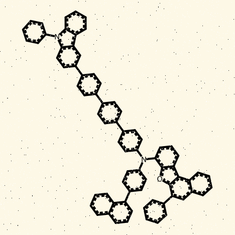 c1ccc(-c2cc3ccccc3c3c2oc2c(N(c4ccc(-c5ccc(-c6ccc(-c7ccc8c(c7)c7ccccc7n8-c7ccccc7)cc6)cc5)cc4)c4ccc(-c5cccc6ccccc56)cc4)cccc23)cc1